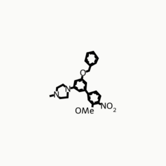 COc1cc(-c2cc(OCc3ccccc3)cc(N3CCN(C)CC3)c2)ccc1[N+](=O)[O-]